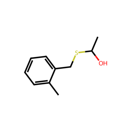 Cc1ccccc1CSC(C)O